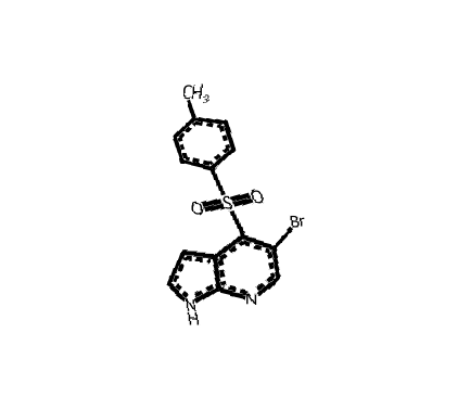 Cc1ccc(S(=O)(=O)c2c(Br)cnc3[nH]ccc23)cc1